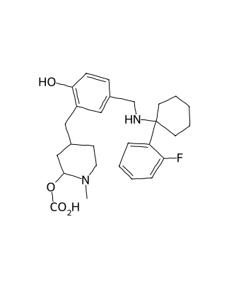 CN1CCC(Cc2cc(CNC3(c4ccccc4F)CCCCC3)ccc2O)CC1OC(=O)O